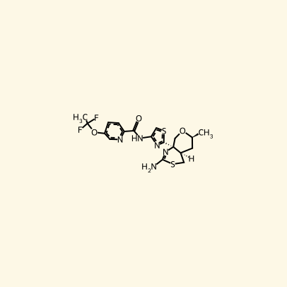 C[C@H]1C[C@H]2CSC(N)=N[C@@]2(c2nc(NC(=O)c3ccc(OC(C)(F)F)cn3)cs2)CO1